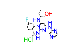 CC(C)C(CO)Nc1cc(Nc2cnccn2)nc(N[C@@H](C)c2ccc(F)cc2)n1.Cl